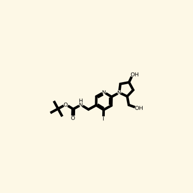 CC(C)(C)OC(=O)NCc1cnc(N2CC(O)CC2CO)cc1I